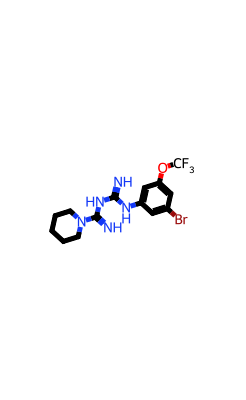 N=C(NC(=N)N1CCCCC1)Nc1cc(Br)cc(OC(F)(F)F)c1